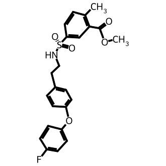 COC(=O)c1cc(S(=O)(=O)NCCc2ccc(Oc3ccc(F)cc3)cc2)ccc1C